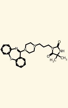 CC1(C)NC(=O)N(CCCN2CCN(C3=Nc4ccccc4Sc4ccccc43)CC2)C1=O